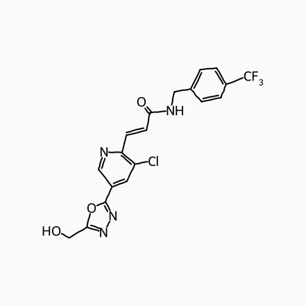 O=C(C=Cc1ncc(-c2nnc(CO)o2)cc1Cl)NCc1ccc(C(F)(F)F)cc1